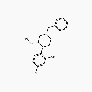 OC[C@@H]1CN(Cc2ccccc2)CC[C@H]1c1ccc(Cl)cc1O